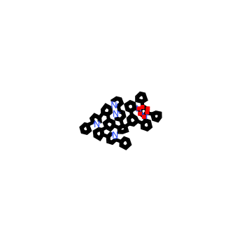 c1ccc(-c2ccc(-c3ccccc3-c3cc(-c4ccccc4-c4ccc(-c5ccccc5)nc4)cc(-c4cccc(-c5cc(-c6ccccc6-c6ccc(-c7ccccc7)nc6)cc(-c6ccccc6-c6ccc(-c7ccccc7)nc6)c5)c4-c4ccc(-c5ccccn5)nc4)c3)cn2)cc1